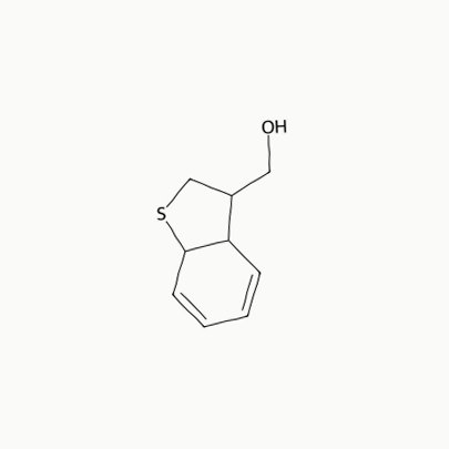 OCC1CSC2C=CC=CC12